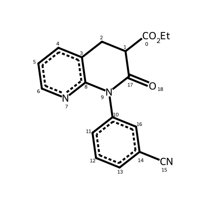 CCOC(=O)C1Cc2cccnc2N(c2cccc(C#N)c2)C1=O